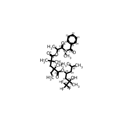 CCC(C)(CC(C)(C)C(=O)OC(C)C(=O)N(C)C(=O)c1ccccc1)C(=O)OC(CC(C)C)CC(C)(O)C(F)(F)F